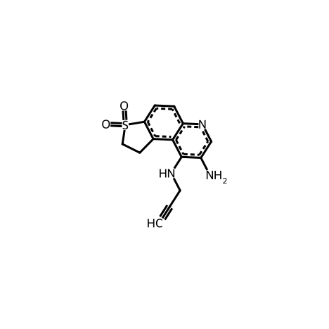 C#CCNc1c(N)cnc2ccc3c(c12)CCS3(=O)=O